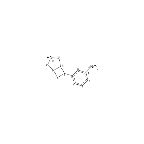 O=[N+]([O-])c1cccc(C2CC3CNCC32)c1